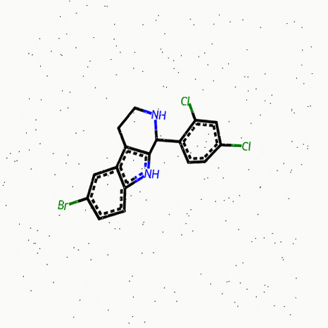 Clc1ccc(C2NCCc3c2[nH]c2ccc(Br)cc32)c(Cl)c1